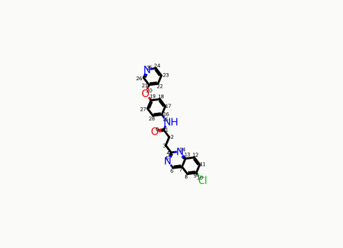 O=C(CCc1ncc2cc(Cl)ccc2n1)Nc1ccc(Oc2cccnc2)cc1